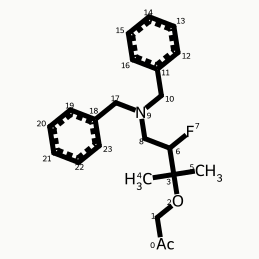 CC(=O)COC(C)(C)C(F)CN(Cc1ccccc1)Cc1ccccc1